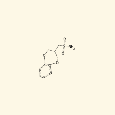 NS(=O)(=O)CC1COc2ccccc2OC1